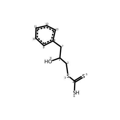 OC(CSC(=S)S)Cc1ccccc1